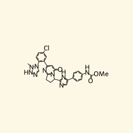 COC(=O)Nc1ccc(-c2cnc(C3CCc4nc(-c5cc(Cl)ccc5N5C=NNN5C)cc(=O)n43)[nH]2)cc1